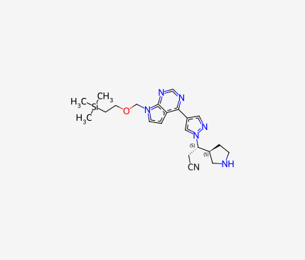 C[Si](C)(C)CCOCn1ccc2c(-c3cnn([C@@H](CC#N)[C@H]4CCNC4)c3)ncnc21